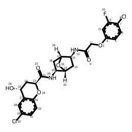 O=C(COc1ccc(Cl)c(F)c1)N[C@H]1C[C@H]2O[C@@H]1C[C@@H]2NC(=O)[C@@H]1C[C@@H](O)c2cc(Cl)ccc2O1